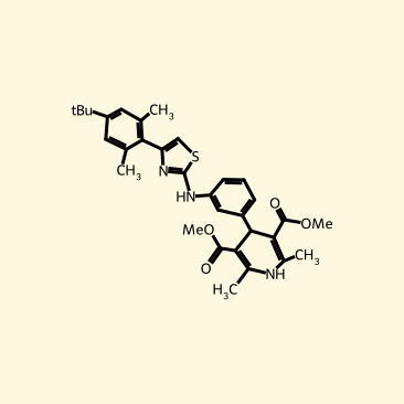 COC(=O)C1=C(C)NC(C)=C(C(=O)OC)C1c1cccc(Nc2nc(-c3c(C)cc(C(C)(C)C)cc3C)cs2)c1